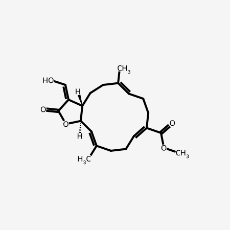 COC(=O)/C1=C\CC/C(C)=C/[C@H]2OC(=O)/C(=C\O)[C@@H]2CC/C(C)=C/CC1